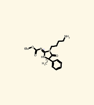 CC(C)(C)OC(=O)/N=C1\N[C@](C)(c2ccccc2)C(=O)N1CCCCN